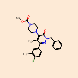 Cc1cc(-c2nn(Cc3ccccc3)c(=O)c(N3CCN(C(=O)OC(C)(C)C)CC3)c2C)ccc1F